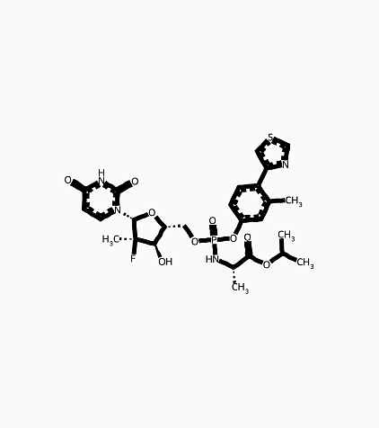 Cc1cc(OP(=O)(N[C@@H](C)C(=O)OC(C)C)OC[C@H]2O[C@@H](n3ccc(=O)[nH]c3=O)[C@](C)(F)[C@@H]2O)ccc1-c1cscn1